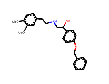 COc1ccc(CCNC[C@@H](O)c2ccc(OCc3ccccc3)cc2)cc1OC